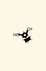 C#Cc1cccc(C#C)c1.c1cc2ccc1-2